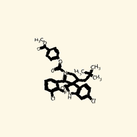 COC(=O)c1ccc(OC(=O)N2CC(CC(C)(C)C)C3(C(=O)Nc4cc(Cl)ccc43)C2c2cccc(Cl)c2F)cc1